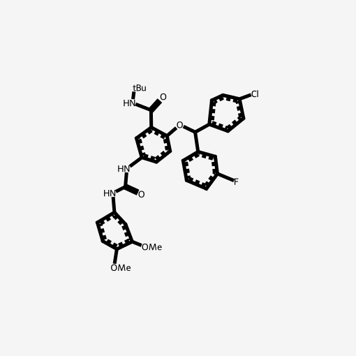 COc1ccc(NC(=O)Nc2ccc(OC(c3ccc(Cl)cc3)c3cccc(F)c3)c(C(=O)NC(C)(C)C)c2)cc1OC